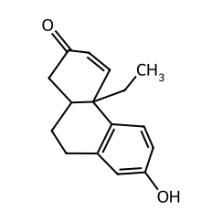 CCC12C=CC(=O)CC1CCc1cc(O)ccc12